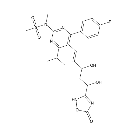 CC(C)c1nc(N(C)S(C)(=O)=O)nc(-c2ccc(F)cc2)c1/C=C/C(O)CC(O)c1nc(=O)o[nH]1